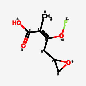 CC(C(=O)O)=C(CC1CO1)OF